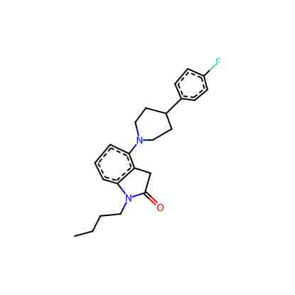 CCCCN1C(=O)Cc2c(N3CCC(c4ccc(F)cc4)CC3)cccc21